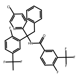 CC(F)(F)c1ccc(F)c(C(Cc2ccccc2)(NC(=O)c2ccc(F)c(C(F)(F)F)c2)c2ccc(Cl)cn2)c1